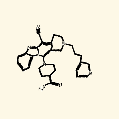 N#Cc1c2c(c(N3CCC(C(N)=O)CC3)n3c1nc1ccccc13)CN(CCCc1cccnc1)CC2